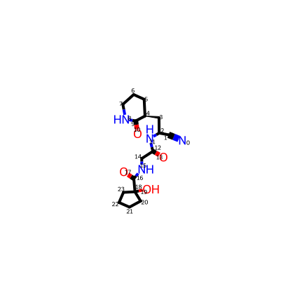 N#CC(C[C@@H]1CCCNC1=O)NC(=O)CNC(=O)C1(O)CCCC1